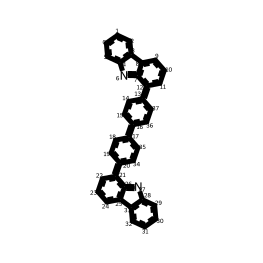 c1ccc2c(c1)N=c1c-2cccc1=c1ccc(=c2ccc(=c3cccc4c3=Nc3ccccc3-4)cc2)cc1